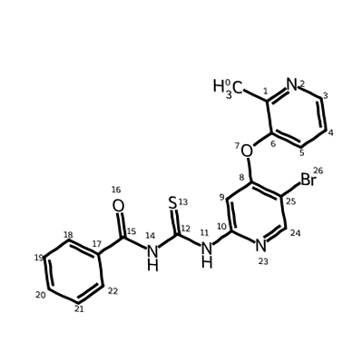 Cc1ncccc1Oc1cc(NC(=S)NC(=O)c2ccccc2)ncc1Br